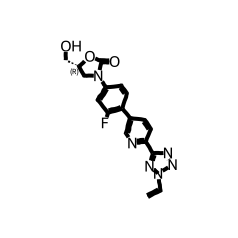 C=Cn1nnc(-c2ccc(-c3ccc(N4C[C@H](CO)OC4=O)cc3F)cn2)n1